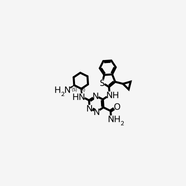 NC(=O)c1nnc(N[C@@H]2CCCC[C@@H]2N)nc1Nc1sc2ccccc2c1C1CC1